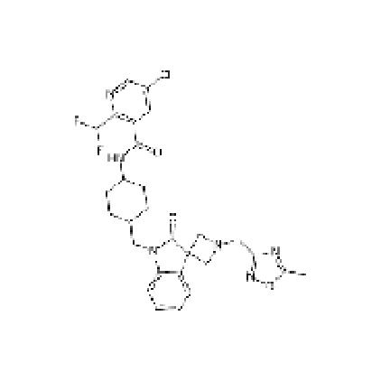 Cc1nc(CN2CC3(C2)C(=O)N(CC2CCC(NC(=O)c4cc(Cl)cnc4C(F)F)CC2)c2ccccc23)no1